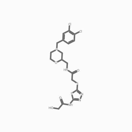 O=C(CSc1nnc(NC(=O)CO)s1)NCC1CN(Cc2ccc(Cl)c(Cl)c2)CCO1